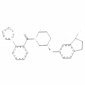 C[C@@H]1CC[C@@H](Oc2ccc3c(c2)[C@@](C)(O)CC3)CN1C(=O)c1ccccc1-n1nccn1